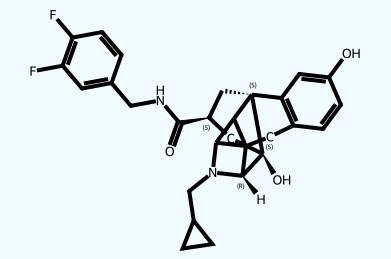 O=C(NCc1ccc(F)c(F)c1)[C@@H]1C[C@@]2(O)[C@@H]3N(CC4CC4)C4C5C43Cc3ccc(O)cc3[C@]52C1